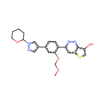 COCOc1cc(-c2cnn(C3CCCCO3)c2)ccc1-c1cc2scc(O)c2nn1